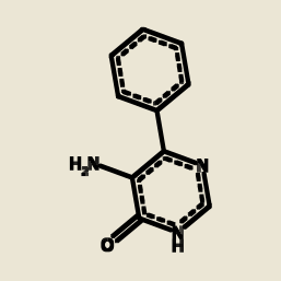 Nc1c(-c2ccccc2)nc[nH]c1=O